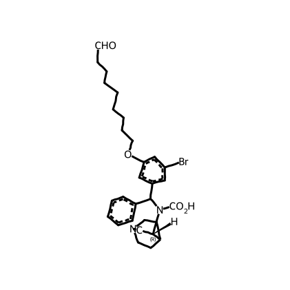 O=CCCCCCCCCOc1cc(Br)cc(C(c2ccccc2)N(C(=O)O)[C@H]2CN3CCC2CC3)c1